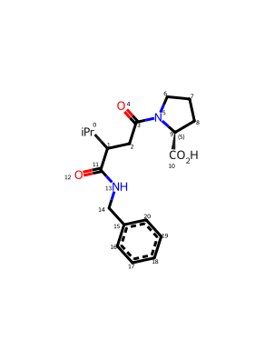 CC(C)C(CC(=O)N1CCC[C@H]1C(=O)O)C(=O)NCc1ccccc1